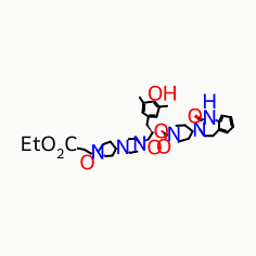 CCOC(=O)CCC(=O)N1CCC(N2CCN(C(=O)[C@@H](Cc3cc(C)c(O)c(C)c3)OC(=O)N3CCC(N4CCc5ccccc5NC4=O)CC3)CC2)CC1